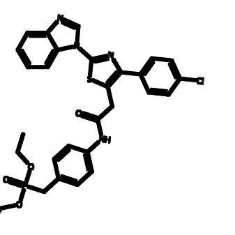 CCOP(=O)(Cc1ccc(NC(=O)Cc2sc(-n3cnc4ccccc43)nc2-c2ccc(Cl)cc2)cc1)OCC